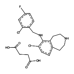 Fc1ccc(CNc2c(Cl)ccc3c2CCNCC3)c(Cl)c1.O=C(O)CCC(=O)O